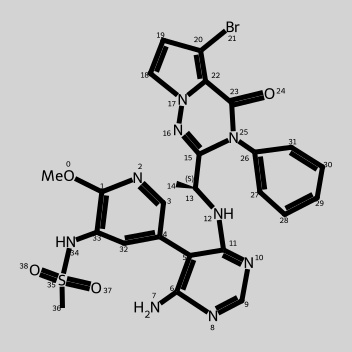 COc1ncc(-c2c(N)ncnc2N[C@@H](C)c2nn3ccc(Br)c3c(=O)n2-c2ccccc2)cc1NS(C)(=O)=O